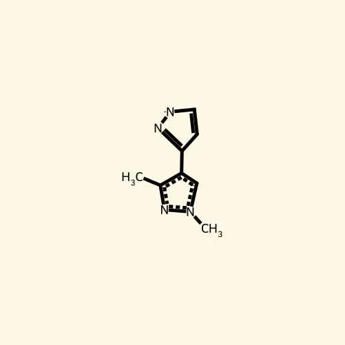 Cc1nn(C)cc1C1=N[N]C=C1